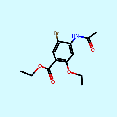 CCOC(=O)c1cc(Br)c(NC(C)=O)cc1OCC